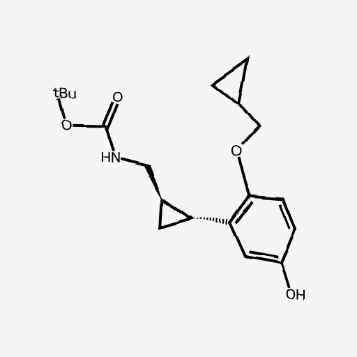 CC(C)(C)OC(=O)NC[C@@H]1C[C@H]1c1cc(O)ccc1OCC1CC1